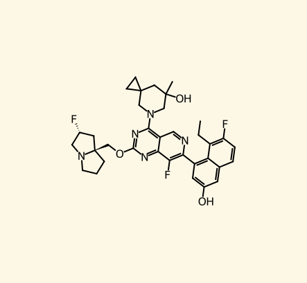 CCc1c(F)ccc2cc(O)cc(-c3ncc4c(N5CC(C)(O)CC6(CC6)C5)nc(OC[C@@]56CCCN5C[C@H](F)C6)nc4c3F)c12